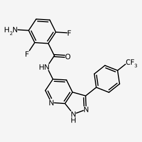 Nc1ccc(F)c(C(=O)Nc2cnc3[nH]nc(-c4ccc(C(F)(F)F)cc4)c3c2)c1F